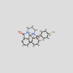 O=C1c2ccccc2C2(c3ccccc3)N(Cc3ccc(F)cc3)CCCN12